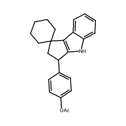 CC(=O)Oc1ccc(C2CC3(CCCCC3)c3c2[nH]c2ccccc32)cc1